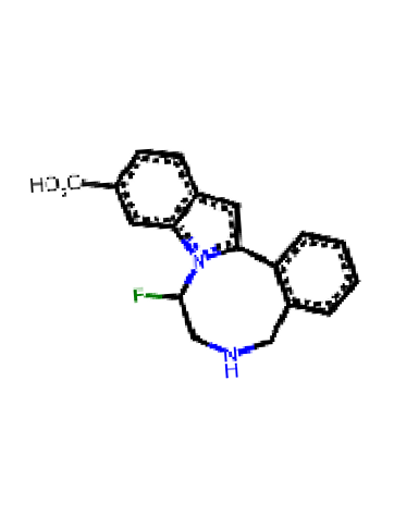 O=C(O)c1ccc2cc3n(c2c1)C(F)CNCc1ccccc1-3